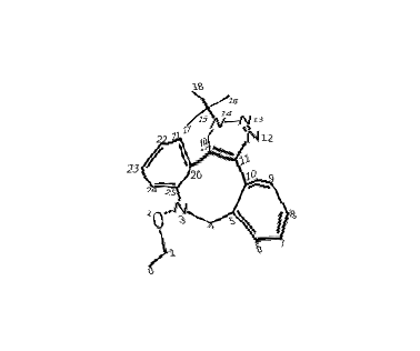 CCON1Cc2ccccc2-c2nnn(C(C)(C)C)c2-c2ccccc21